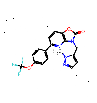 Cn1nccc1Cn1c(=O)oc2ccc(-c3ccc(OC(F)(F)F)cc3)nc21